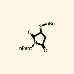 CCCCCN1C(=O)CC(SCCCC)C1=O